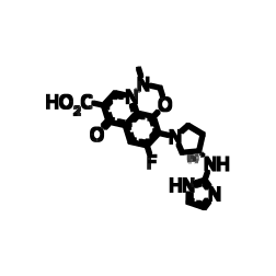 CN1COc2c(N3CC[C@H](Nc4ncc[nH]4)C3)c(F)cc3c(=O)c(C(=O)O)cn1c23